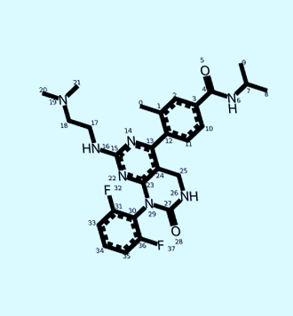 Cc1cc(C(=O)NC(C)C)ccc1-c1nc(NCCN(C)C)nc2c1CNC(=O)N2c1c(F)cccc1F